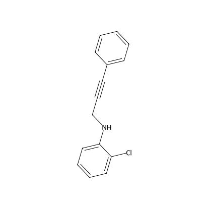 Clc1ccccc1NCC#Cc1ccccc1